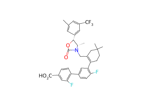 Cc1cc([C@H]2OC(=O)N(CC3=C(c4cc(-c5ccc(C(=O)O)cc5F)ccc4F)CCC(C)(C)C3)[C@H]2C)cc(C(F)(F)F)c1